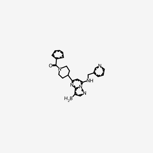 Bc1cnn2c(NCc3cccnc3)cc(C3CCN(C(=O)c4ccccc4)CC3)nc12